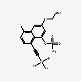 COCOc1cc(OS(=O)(=O)C(F)(F)F)c2c(C#C[Si](C(C)C)(C(C)C)C(C)C)ccc(F)c2c1